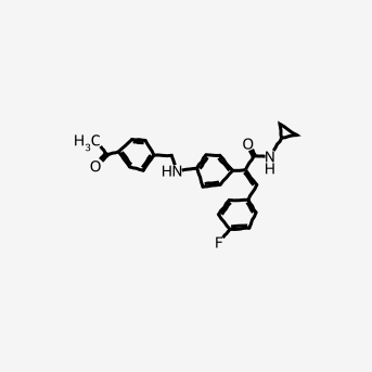 CC(=O)c1ccc(CNc2ccc(/C(=C\c3ccc(F)cc3)C(=O)NC3CC3)cc2)cc1